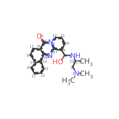 C[C@@H](CN(C)C)NC(O)c1cccn2c(=O)c3ccc4ccccc4c3nc12